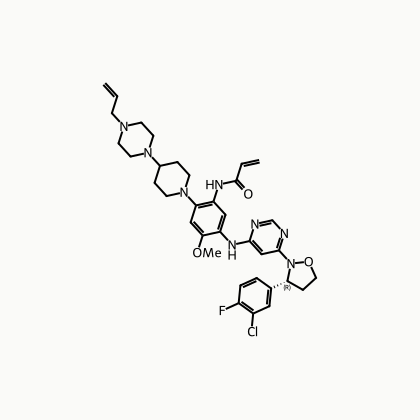 C=CCN1CCN(C2CCN(c3cc(OC)c(Nc4cc(N5OCC[C@@H]5c5ccc(F)c(Cl)c5)ncn4)cc3NC(=O)C=C)CC2)CC1